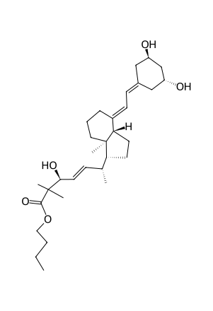 CCCCOC(=O)C(C)(C)[C@@H](O)/C=C/[C@@H](C)[C@H]1CC[C@H]2/C(=C/C=C3C[C@@H](O)C[C@H](O)C3)CCC[C@]12C